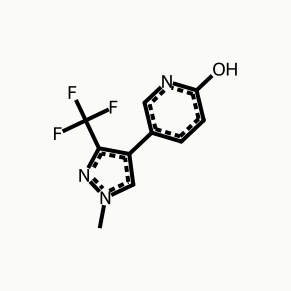 Cn1cc(-c2ccc(O)nc2)c(C(F)(F)F)n1